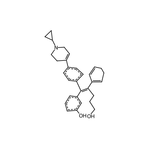 OCCC/C(C1=CCCC=C1)=C(/c1ccc(C2=CCN(C3CC3)CC2)cc1)c1cccc(O)c1